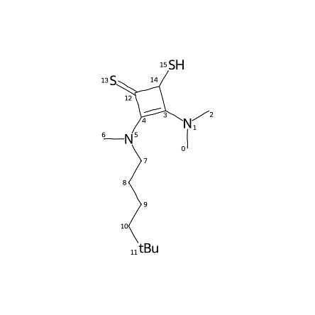 CN(C)C1=C(N(C)CCCCC(C)(C)C)C(=S)C1S